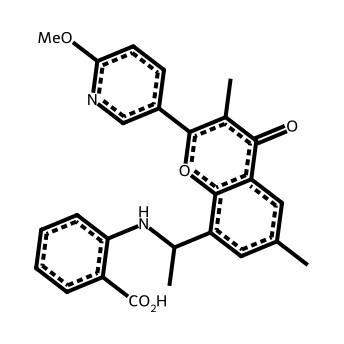 COc1ccc(-c2oc3c(C(C)Nc4ccccc4C(=O)O)cc(C)cc3c(=O)c2C)cn1